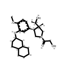 COc1ccc([C@@H]2CN(C(=O)CO)C[C@@]2(C)[C@@H](C)O)cc1OC1CCC2CCCCC2C1